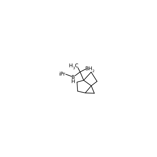 BC(C)(BC(C)C)C12CCC3CC31CC2